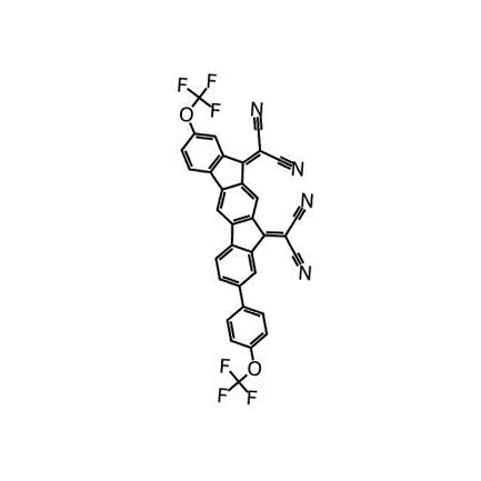 N#CC(C#N)=C1c2cc(OC(F)(F)F)ccc2-c2cc3c(cc21)C(=C(C#N)C#N)c1cc(-c2ccc(OC(F)(F)F)cc2)ccc1-3